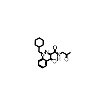 CC(=O)CNC(=O)c1nn(CC2CCCCC2)c2ccccc2c1=O